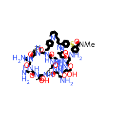 CNC(=O)c1ccccc1Sc1ccc2c(/C=C/c3ccccn3)nn(C(=O)C(C)CC(=O)NC(CCN)C(=O)N[C@@H](C(=O)N[C@@H](CCN)C(=O)N[C@@H]3CCNC(=O)C([C@H](C)O)NC(=O)[C@H](CCN)NC(=O)[C@H](CCN)NC(=O)C(CC(C)C)NC(=O)[C@H](CCc4ccccc4)NC(=O)[C@H](CCN)NC3=O)C(C)O)c2c1